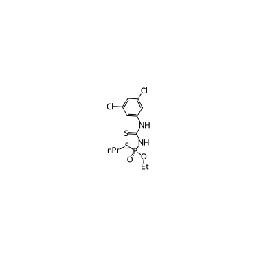 CCCSP(=O)(NC(=S)Nc1cc(Cl)cc(Cl)c1)OCC